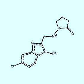 Cn1c(CNN2CCCC2=O)nc2cc(Cl)ccc21